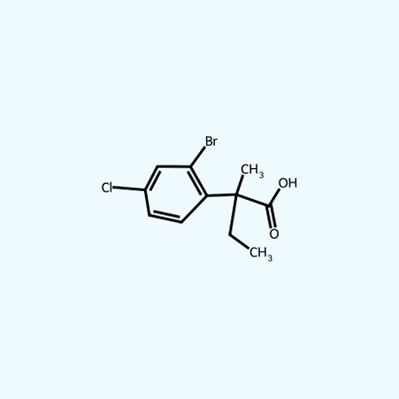 CCC(C)(C(=O)O)c1ccc(Cl)cc1Br